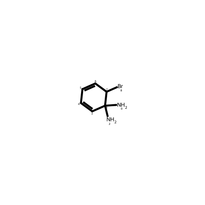 NC1(N)C=CC=CC1Br